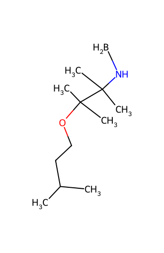 BNC(C)(C)C(C)(C)OCCC(C)C